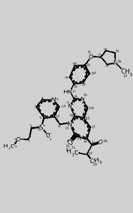 COCC[S+]([O-])c1ccncc1Cn1c(=O)c(C(=O)C(C)C)cc2cnc(Nc3ccc(OC4CCN(C)C4)cc3)nc21